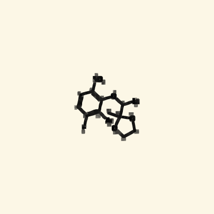 CCC(Oc1c([N+](=O)[O-])ccc(F)c1C(C)=O)C1(C)OCCO1